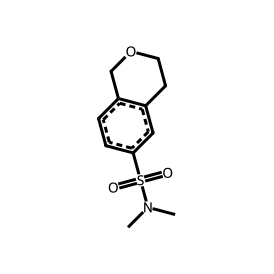 CN(C)S(=O)(=O)c1ccc2c(c1)CCOC2